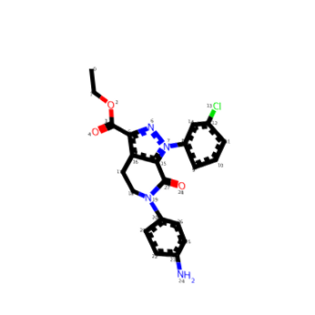 CCOC(=O)c1nn(-c2cccc(Cl)c2)c2c1CCN(c1ccc(N)cc1)C2=O